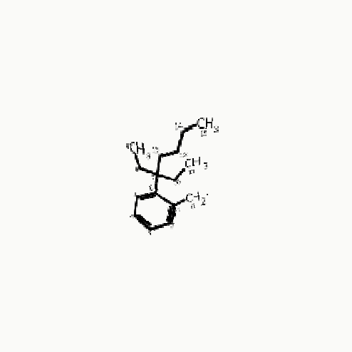 [CH2]c1ccccc1C(CC)(CC)CCCC